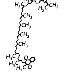 CC(C)=CCC/C(C)=C/CC/C(C)=C/CC/C(C)=C\CC/C(C)=C/CC/C(C)=C/CC/C(C)=C/CC/C(C)=C/CC/C(C)=C/CC/C(C)=C/CC1=C(C)C(=O)c2ccccc2C1=O